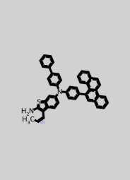 C/C=C\c1c(N)sc2cc(N(c3ccc(-c4ccccc4)cc3)c3ccc(-c4cc5ccccc5c5ccc6ccccc6c45)cc3)ccc12